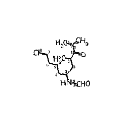 CC(C[C@H](CCCCCl)NC=O)C(=O)N(C)C